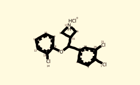 Cl.Clc1ccc(C(Oc2ccccc2Cl)C2CNC2)cc1Cl